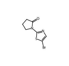 O=C1CCCN1c1ncc(Br)s1